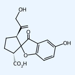 C=C(CO)[C@@H]1CC[C@@H](C(=O)O)C12Oc1ccc(O)cc1C2=O